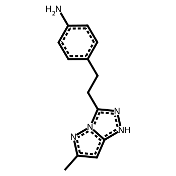 Cc1cc2[nH]nc(CCc3ccc(N)cc3)n2n1